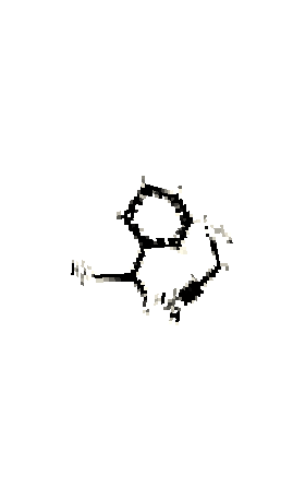 C#CCC.CC(C)c1ccccc1